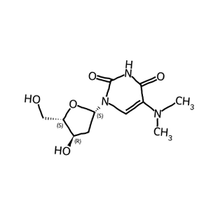 CN(C)c1cn([C@@H]2C[C@@H](O)[C@H](CO)O2)c(=O)[nH]c1=O